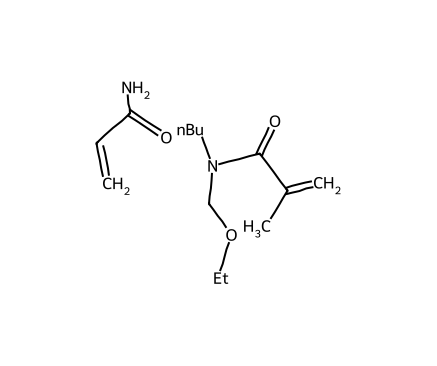 C=C(C)C(=O)N(CCCC)COCC.C=CC(N)=O